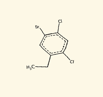 CCc1cc(Br)c(Cl)cc1Cl